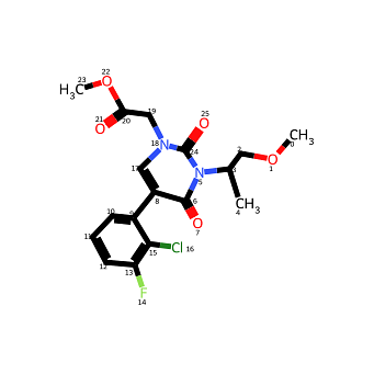 COCC(C)n1c(=O)c(-c2cccc(F)c2Cl)cn(CC(=O)OC)c1=O